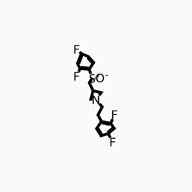 [O-][S+](CC1CN(CCc2ccc(F)cc2F)C1)c1ccc(F)cc1F